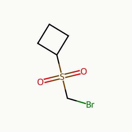 O=S(=O)(CBr)C1CCC1